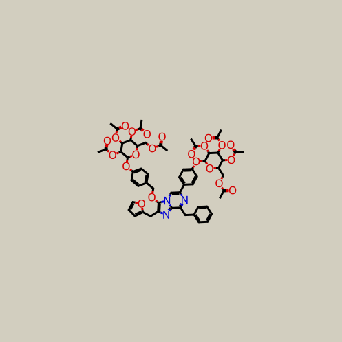 CC(=O)OCC1OC(Oc2ccc(COc3c(Cc4ccco4)nc4c(Cc5ccccc5)nc(-c5ccc(OC6OC(COC(C)=O)C(OC(C)=O)C(OC(C)=O)C6OC(C)=O)cc5)cn34)cc2)C(OC(C)=O)C(OC(C)=O)C1OC(C)=O